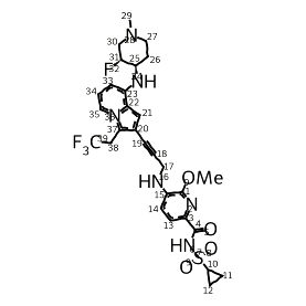 COc1nc(C(=O)NS(=O)(=O)C2CC2)ccc1NCC#Cc1cc2c(N[C@@H]3CCN(C)C[C@@H]3F)cccn2c1CC(F)(F)F